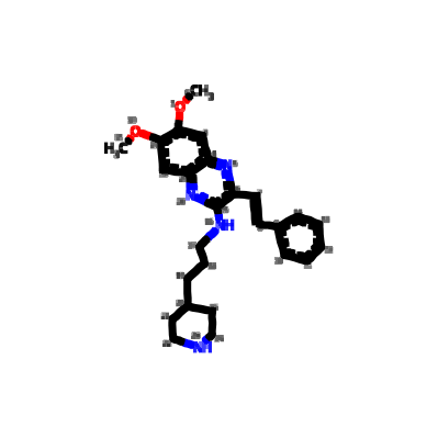 COc1cc2nc(C=Cc3ccccc3)c(NCCCC3CCNCC3)nc2cc1OC